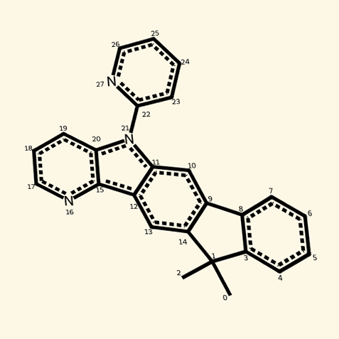 CC1(C)c2ccccc2-c2cc3c(cc21)c1ncccc1n3-c1ccccn1